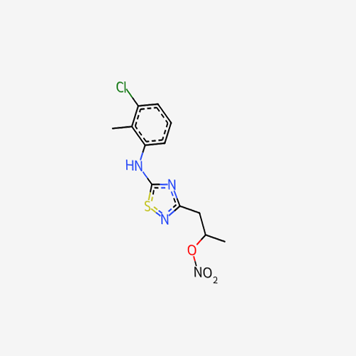 Cc1c(Cl)cccc1Nc1nc(CC(C)O[N+](=O)[O-])ns1